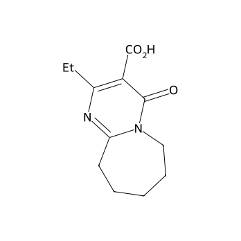 CCc1nc2n(c(=O)c1C(=O)O)CCCCC2